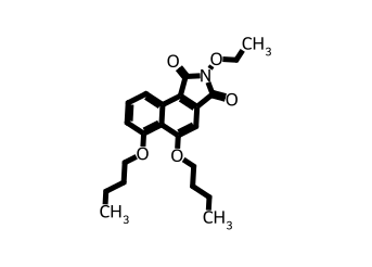 CCCCOc1cccc2c3c(cc(OCCCC)c12)C(=O)N(OCC)C3=O